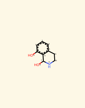 Oc1cccc2c1C(O)NCC2